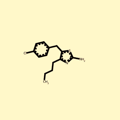 CCCCc1nc(N)sc1Cc1ccc(Cl)cc1